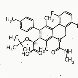 CNC(=O)N1Cc2c(F)ccc(F)c2-c2c(C)c(-c3ccc(C)cc3)c([C@H](OC(C)(C)C)C(=O)O)c(C)c21